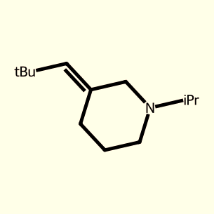 CC(C)N1CCC/C(=C\C(C)(C)C)C1